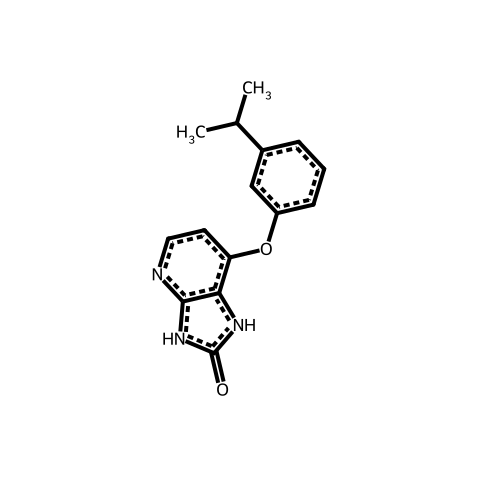 CC(C)c1cccc(Oc2ccnc3[nH]c(=O)[nH]c23)c1